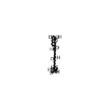 O=C(CCCCC1SC[C@@H]2NC(=O)N[C@H]12)NCCCCNC(=O)C1CCC(CN2C(=O)CC(S)C2=O)CC1